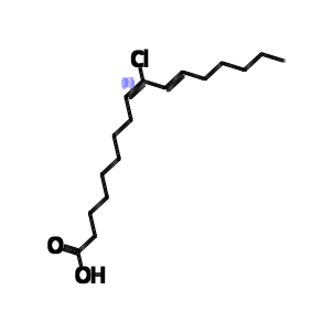 CCCCCC=C/C(Cl)=C\CCCCCCCC(=O)O